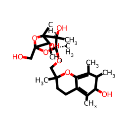 CC1=C2OC(C)(CO[C@@]3(C)OC4(CO)OC(C)(C3(C)O)[C@]4(C)O)CCC2=C(C)C(O)C1C